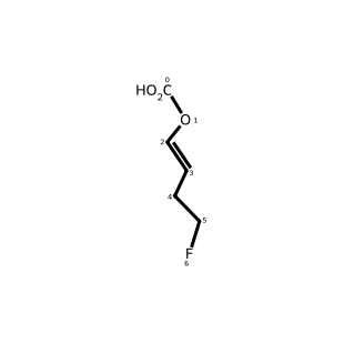 O=C(O)OC=CCCF